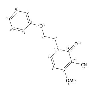 COc1ccn(CCOc2ccccc2)c(=O)c1C#N